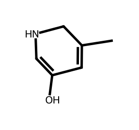 CC1=CC(O)=CNC1